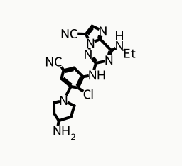 CCNc1nc(Nc2cc(C#N)cc(N3CCC(N)CC3)c2Cl)nn2c(C#N)cnc12